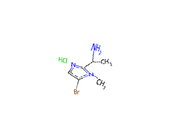 CC(N)c1ncc(Br)n1C.Cl